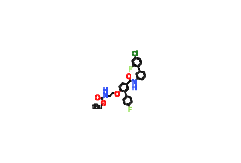 CC(C)(C)OC(=O)NCCOc1ccc(C(=O)Nc2cccc(-c3ccc(Cl)cc3F)c2)cc1-c1ccc(F)cc1